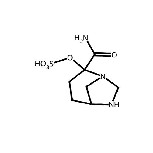 NC(=O)C1(OS(=O)(=O)O)CCC2CN1CN2